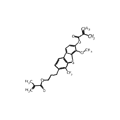 C=C(C)C(=O)OCCCc1ccc2c(sc3c(OC(F)(F)F)c(OC(=O)C(=C)C)ccc32)c1C(F)(F)F